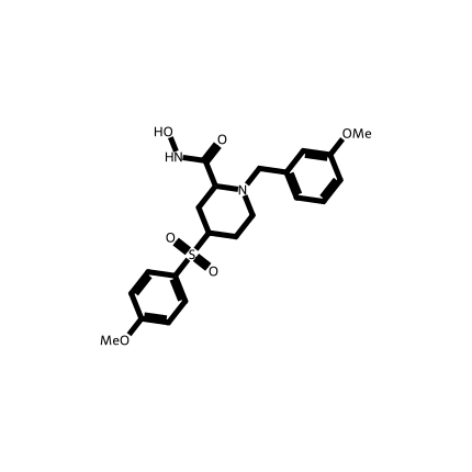 COc1ccc(S(=O)(=O)C2CCN(Cc3cccc(OC)c3)C(C(=O)NO)C2)cc1